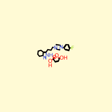 Fc1ccc(N2CCN(CCCc3[nH]nc4c3CCCC4)CC2)cc1.O=C(O)/C=C\C(=O)O